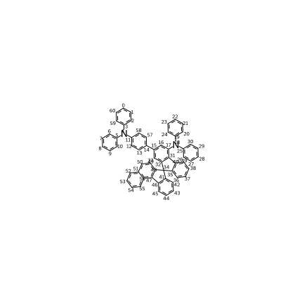 c1ccc(N(c2ccccc2)c2ccc(-c3cc(N(c4ccccc4)c4ccccc4)c4c(c3)C3(c5ccccc5-4)c4ccccc4-c4c3ccc3ccccc43)cc2)cc1